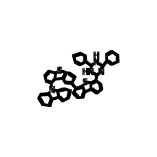 C1=CC2Sc3ccc(-c4cccc5c4sc4c(C6N=C(c7ccccc7)NC(c7ccccc7)N6)cccc45)cc3C2C(n2c3ccccc3c3ccccc32)=C1